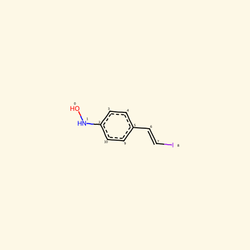 ONc1ccc(/C=C/I)cc1